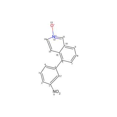 O=[N+]([O-])c1cccc(-c2cccc3c[n+]([O-])ccc23)c1